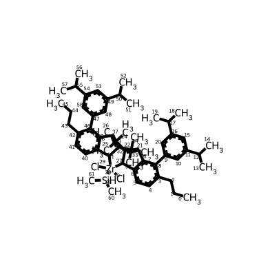 CCCc1ccc2c(c1-c1cc(C(C)C)cc(C(C)C)c1)C=C(C(C)(C)C)[CH]2[Zr]([Cl])([Cl])([CH]1C(C(C)(C)C)=Cc2c1ccc(CCC)c2-c1cc(C(C)C)cc(C(C)C)c1)[SiH](C)C